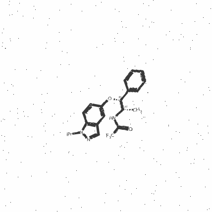 CC(C)n1ncc2cc(O[C@H](c3ccccc3)[C@H](C)NC(=O)C(F)(F)F)ccc21